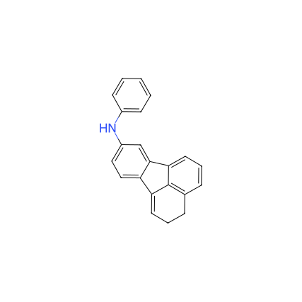 C1=C2c3ccc(Nc4ccccc4)cc3-c3cccc(c32)CC1